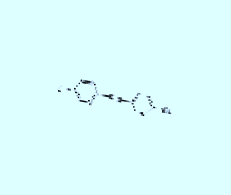 CCCCc1ccc(C#Cc2ncc(Cl)cn2)cc1